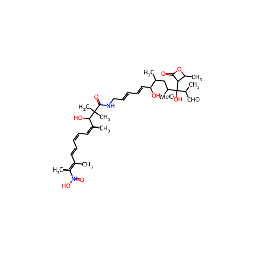 COC(CC(C)C(O)/C=C/C=C/CNC(=O)C(C)(C)C(O)\C(C)=C/C=C\C=C\C(C)=C(/C)[N+](=O)O)C(O)(C(C)C=O)C1C(=O)OC1C